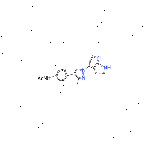 CC(=O)Nc1ccc(-c2cn(-c3ccnc4[nH]ccc34)nc2C)cc1